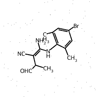 Cc1cc(Br)cc(C)c1N/C(N)=C(/C#N)C(C)C=O